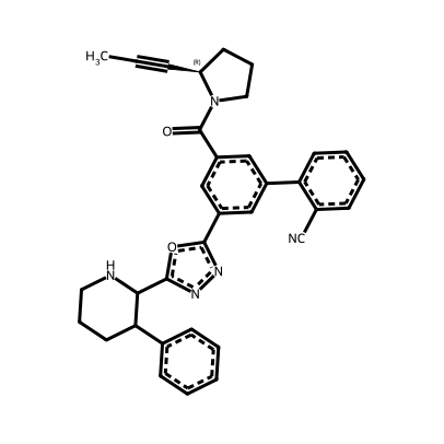 CC#C[C@H]1CCCN1C(=O)c1cc(-c2nnc(C3NCCCC3c3ccccc3)o2)cc(-c2ccccc2C#N)c1